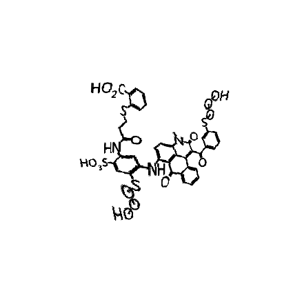 Cn1c(=O)c(C(=O)c2cccc(SOOO)c2)c2c3c(c(Nc4cc(NC(=O)CCSc5ccccc5C(=O)O)c(S(=O)(=O)O)cc4SOOO)ccc31)C(=O)c1ccccc1-2